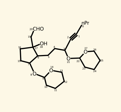 CCCC#CC(CCC1C(OC2CCCCO2)CCC1(O)CC=O)OC1CCCCO1